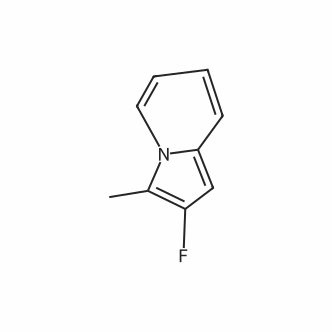 Cc1c(F)cc2ccccn12